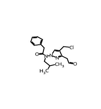 CC(C)CN(C(=O)Cc1ccccc1)n1cc(CCl)c(CC=O)n1